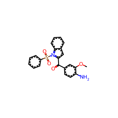 COc1cc(C(=O)c2cc3ccccc3n2S(=O)(=O)c2ccccc2)ccc1N